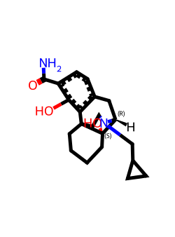 NC(=O)c1ccc2c(c1O)C13CCCC[C@@]1(O)[C@@H](C2)N(CC1CC1)CC3